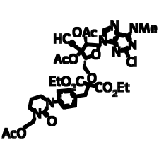 C#C[C@@]1(OC(C)=O)[C@@H](COC(Cc2ccc(N3CCCN(CCOC(C)=O)C3=O)cc2)(C(=O)OCC)C(=O)OCC)O[C@@H](n2cnc3c(NC)nc(Cl)nc32)[C@@H]1OC(C)=O